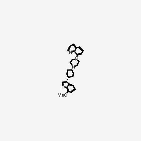 COc1cccc2c1occ2[C@H]1CC[C@@H](N2CCN(c3cccc4cccnc34)CC2)CC1